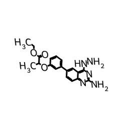 CCOC(=O)C(C)Oc1cccc(-c2ccc3nc(N)nc(NN)c3c2)c1